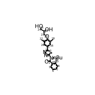 CCCCN(C(=O)c1ccccc1F)c1nnc(-c2cc(C)c(OCC(O)CO)c(C)c2)s1